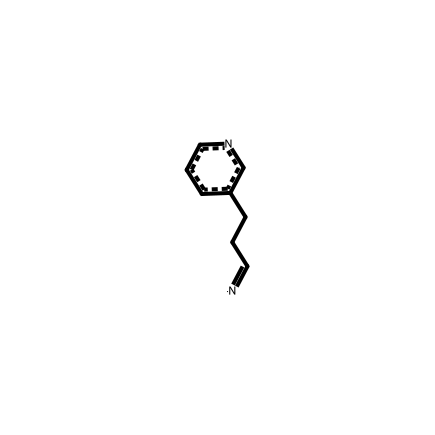 [N]=CCCc1cccnc1